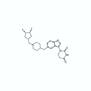 O=C1CCN(c2cnn3ccc(CC4CCN(CC5C[C@@H](F)[C@@H](F)C5)CC4)cc23)C(=O)N1